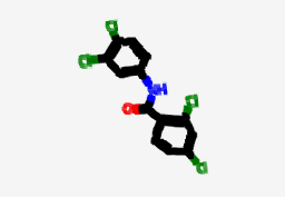 O=C(Nc1ccc(Cl)c(Cl)c1)c1ccc(Cl)cc1Cl